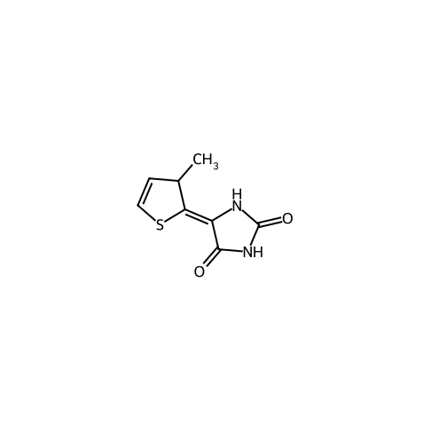 CC1C=CSC1=C1NC(=O)NC1=O